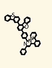 c1ccc(-c2cc(-c3ccccc3-c3ccccn3)nc(-c3ccc(-c4ccc(-c5ccc6sc7ccccc7c6c5)c5c4oc4ccccc45)cc3)n2)cc1